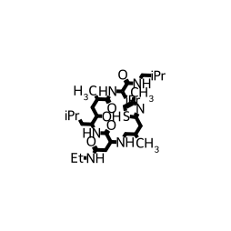 CCNC(=O)CC(NCC(C)Cc1nc(C)cs1)C(=O)NC(CC(C)C)C(O)CC(C)C(=O)NC(C(=O)NCC(C)C)C(C)C